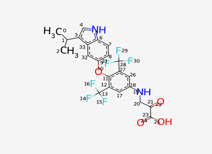 CC(C)c1c[nH]c2ccc(Oc3c(C(F)(F)F)cc(NCC(=O)C(=O)O)cc3C(F)(F)F)cc12